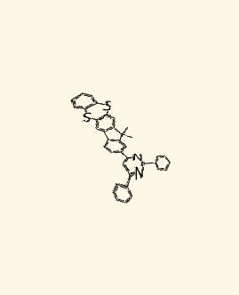 CC1(C)c2cc(-c3cc(-c4ccccc4)nc(-c4ccccc4)n3)ccc2-c2cc3c(cc21)Sc1ccccc1S3